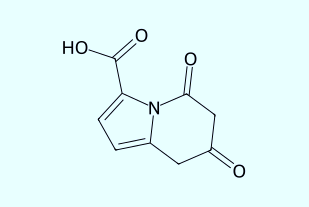 O=C1CC(=O)n2c(ccc2C(=O)O)C1